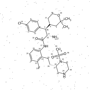 CC1(C)CC([C@H](c2ccc(Cl)cc2)[C@H](N)C(=O)Nc2cccc(F)c2CC[C@H]2CNCCN2S(C)(=O)=O)CCO1